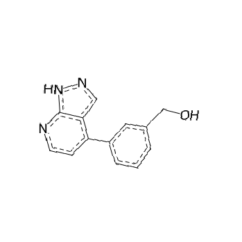 OCc1cccc(-c2ccnc3[nH]ncc23)c1